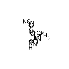 CC(O)c1nc2cnc3[nH]ccc3c2n1C1CCN(Cc2ccnc(C#N)c2)CC1